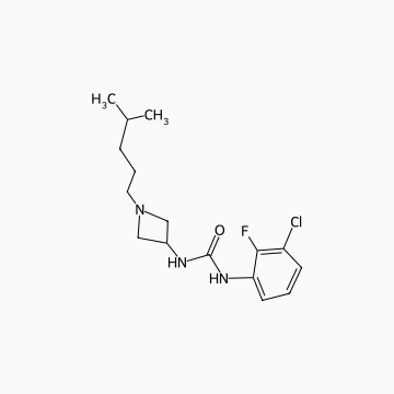 CC(C)CCCN1CC(NC(=O)Nc2cccc(Cl)c2F)C1